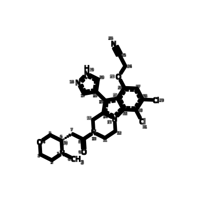 CN1CCOC[C@@H]1CC(=O)N1CCn2c(c(-c3cn[nH]c3)c3c(OCC#N)cc(Cl)c(Cl)c32)C1